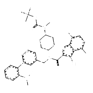 CN(C(=O)OC(C)(C)C)[C@H]1CC[C@H](N(Cc2cccc(-c3ccccc3[S+](C)[O-])c2)C(=O)c2sc3c(F)ccc(F)c3c2Cl)CC1